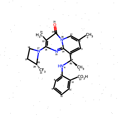 Cc1cc([C@@H](C)Nc2ccccc2C(=O)O)c2nc(N3CC[C@H]3C(F)(F)F)c(C)c(=O)n2c1